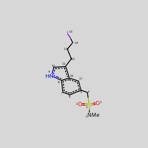 CNS(=O)(=O)Cc1ccc2[nH]cc(CCCI)c2c1